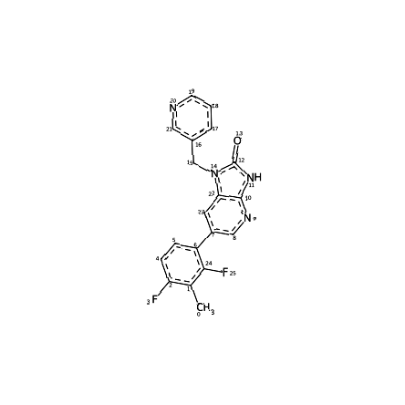 Cc1c(F)ccc(-c2cnc3[nH]c(=O)n(Cc4cccnc4)c3c2)c1F